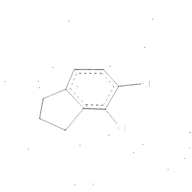 Clc1[c]cc2c(c1Cl)CCC2